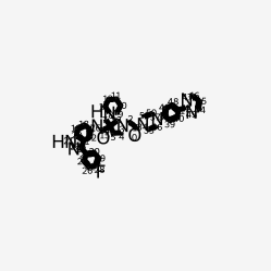 O=C(CN1CCC(CN2CCCCC2)(C(=O)Nc2ccc3[nH]nc(-c4ccc(F)cc4)c3c2)C1)N1CCN(c2ccc(-c3ncccn3)cc2)CC1